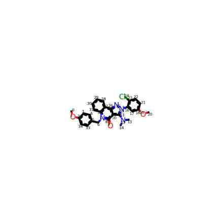 COc1ccc(Cn2c(=O)c3c(N(C)C)n(-c4cc(OC)ccc4Cl)nc3c3ccccc32)cc1